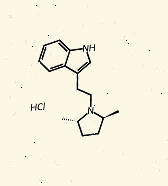 C[C@H]1CC[C@H](C)N1CCc1c[nH]c2ccccc12.Cl